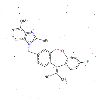 CCCc1nc2c(OC)cccc2n1Cc1ccc2c(c1)COc1cc(F)ccc1C2=C(C)C#N